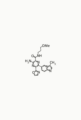 COCCCNC(=O)c1nc(-c2ccc3ncc(C)n3c2)c(-c2ncco2)nc1N